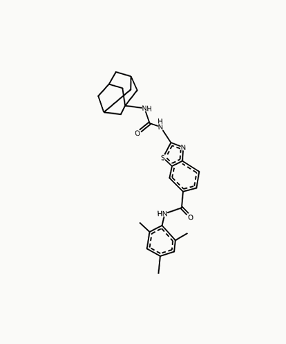 Cc1cc(C)c(NC(=O)c2ccc3nc(NC(=O)NC45CC6CC(CC(C6)C4)C5)sc3c2)c(C)c1